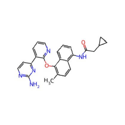 Cc1ccc2c(NC(=O)CC3CC3)cccc2c1Oc1ncccc1-c1ccnc(N)n1